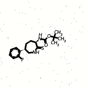 CC(C)(C)OC(=O)N[C@@H]1CC[C@@H](c2ccccc2F)CNC1=S